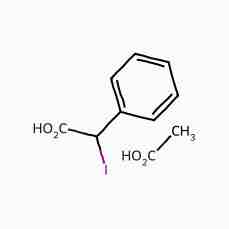 CC(=O)O.O=C(O)C(I)c1ccccc1